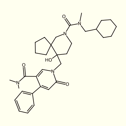 CN(C)C(=O)c1cn(CC2(O)CCN(C(=O)N(C)CC3CCCCC3)CC23CCCC3)c(=O)cc1-c1ccccc1